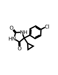 O=C1NC(=O)C(c2ccc(Cl)cc2)(C2CC2)N1